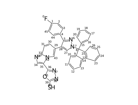 Fc1ccc(-c2nn(C(c3ccccc3)(c3ccccc3)c3ccccc3)cc2-c2ccc3ncc(-c4nnc(S)o4)n3c2)cc1